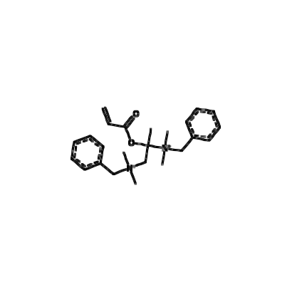 C=CC(=O)OC(C)(C[N+](C)(C)Cc1ccccc1)[N+](C)(C)Cc1ccccc1